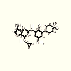 Nc1cc(Nc2nc(NC3CC3)c3ncc(N)n3n2)c(Cl)c(N2CCS(=O)(=O)CC2)c1